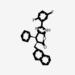 O=C1Oc2[nH]c(-c3cc(F)ccc3F)nc2[C@H](c2ccccc2)[C@@H]1Cc1ccc2ccccc2c1